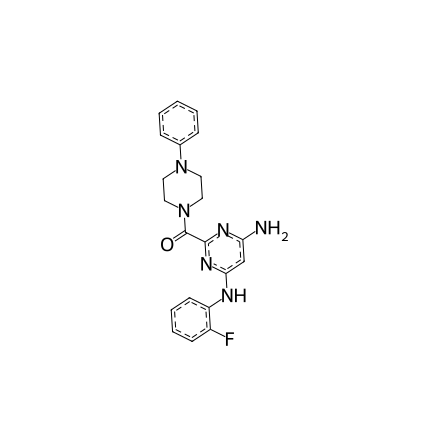 Nc1cc(Nc2ccccc2F)nc(C(=O)N2CCN(c3ccccc3)CC2)n1